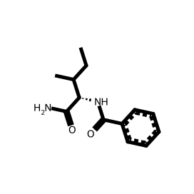 CCC(C)[C@H](NC(=O)c1ccccc1)C(N)=O